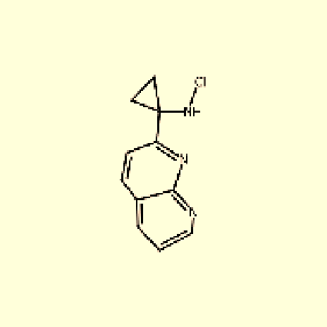 ClNC1(c2ccc3cccnc3n2)CC1